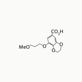 COCCCOc1cc(C(=O)O)cc2c1OCCO2